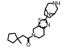 CC1(CC(=O)N2CCc3nc(N4C5CCC4CNC5)sc3C2)CCCC1